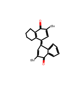 CC(C)(C)C1=C/C(=C2/C=C(C(C)(C)C)C(=O)c3ccccc32)C2=C(CCCC2)C1=O